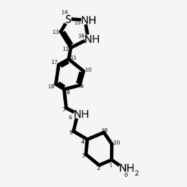 NC1CCC(CNCc2ccc(C3=CSNN3)cc2)CC1